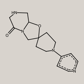 O=C1CNCC2OC3(CCN(c4ccncc4)CC3)CN12